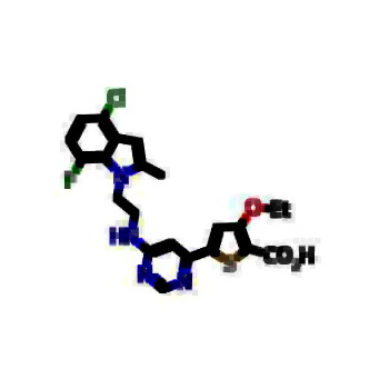 CCOc1cc(-c2cc(NCCn3c(C)cc4c(Cl)ccc(F)c43)ncn2)sc1C(=O)O